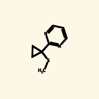 CSC1(c2ncccn2)CC1